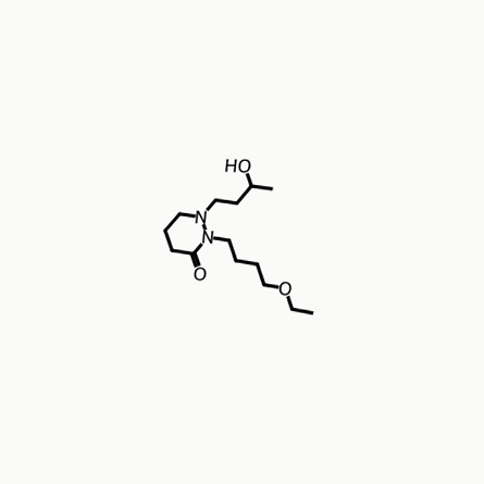 CCOCCCCN1C(=O)CCCN1CCC(C)O